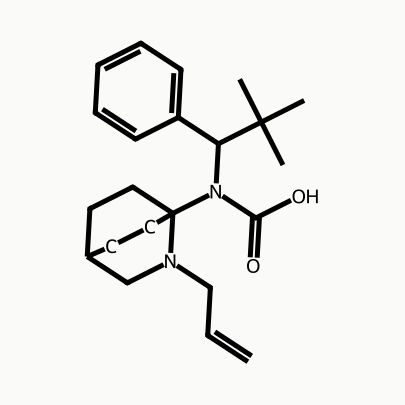 C=CCN1CC2CCC1(N(C(=O)O)C(c1ccccc1)C(C)(C)C)CC2